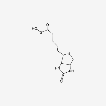 O=C1NC2CSC(CCCCC(=O)SO)C2N1